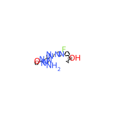 Nc1nc2c(cnn2CCN2CCN(c3cc([C@@H](O)C4CC4)ccc3F)CC2)c2nc(-c3ccco3)nn12